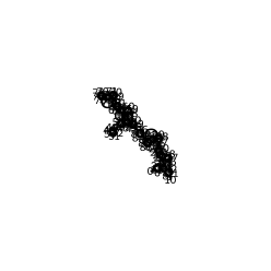 Cc1ccc2c(c1)c1cc(C)ccc1n2-c1cccc2c1sc1ccc(-c3cccc4oc5c(-c6ccc(-c7ccc8c(c7)c7cc(-c9ccccc9)ccc7n8-c7cccc8c7sc7ccc(-c9cccc%10c9oc9ccccc9%10)cc78)cc6)cccc5c34)cc12